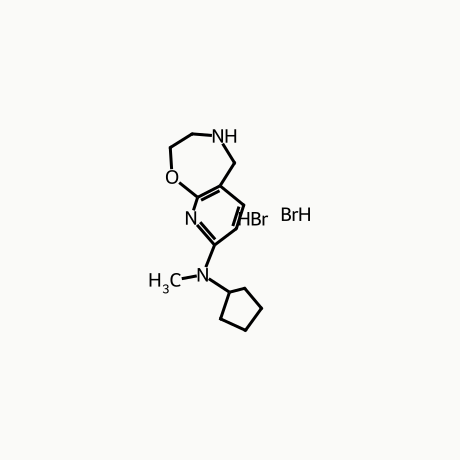 Br.Br.CN(c1ccc2c(n1)OCCNC2)C1CCCC1